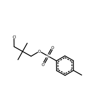 Cc1ccc(S(=O)(=O)OCC(C)(C)CCl)cc1